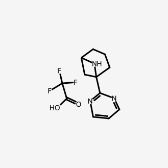 O=C(O)C(F)(F)F.c1cnc(C23CCCC(C2)N3)nc1